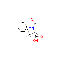 CC(=O)N(C1CCCCC1)[C@@](C)(C(=O)O)C(C)(C)C